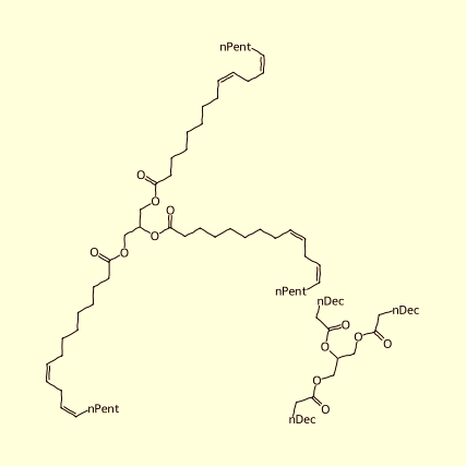 CCCCC/C=C\C/C=C\CCCCCCCC(=O)OCC(COC(=O)CCCCCCC/C=C\C/C=C\CCCCC)OC(=O)CCCCCCC/C=C\C/C=C\CCCCC.CCCCCCCCCCCC(=O)OCC(COC(=O)CCCCCCCCCCC)OC(=O)CCCCCCCCCCC